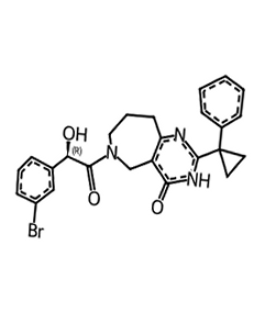 O=C([C@H](O)c1cccc(Br)c1)N1CCCc2nc(C3(c4ccccc4)CC3)[nH]c(=O)c2C1